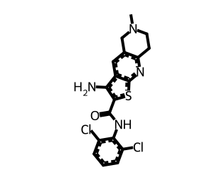 CN1CCc2nc3sc(C(=O)Nc4c(Cl)cccc4Cl)c(N)c3cc2C1